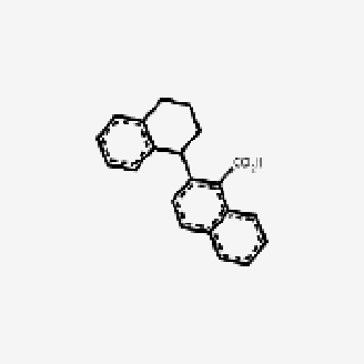 O=C(O)c1c(C2CCCc3ccccc32)ccc2ccccc12